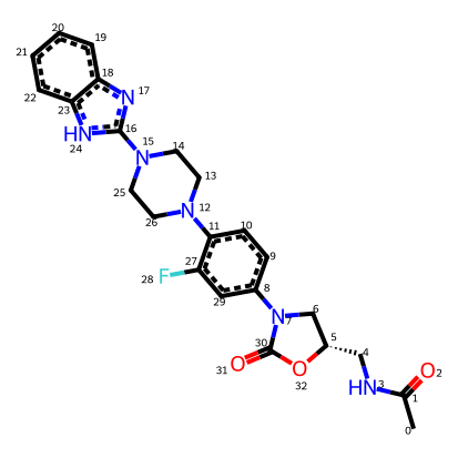 CC(=O)NC[C@H]1CN(c2ccc(N3CCN(c4nc5ccccc5[nH]4)CC3)c(F)c2)C(=O)O1